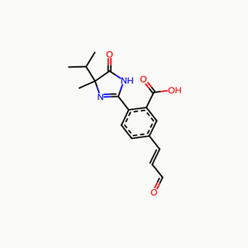 CC(C)C1(C)N=C(c2ccc(C=CC=O)cc2C(=O)O)NC1=O